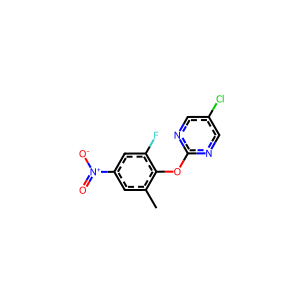 Cc1cc([N+](=O)[O-])cc(F)c1Oc1ncc(Cl)cn1